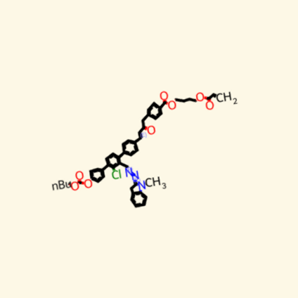 C=CC(=O)OCCCCOC(=O)c1ccc(CC(=O)/C=C/c2ccc(-c3ccc(-c4ccc(OC(=O)OCCCC)cc4)c(Cl)c3/C=N/N=C3\Cc4ccccc4N3C)cc2)cc1